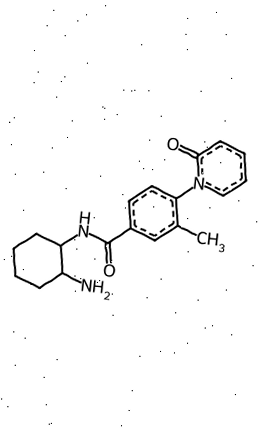 Cc1cc(C(=O)NC2CCCCC2N)ccc1-n1ccccc1=O